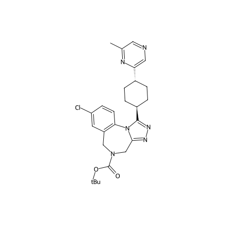 Cc1cncc([C@H]2CC[C@H](c3nnc4n3-c3ccc(Cl)cc3CN(C(=O)OC(C)(C)C)C4)CC2)n1